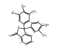 Cc1cc(C2(c3cc(C)c(O)c(Br)c3)OC(=O)c3ccccc32)ccc1O